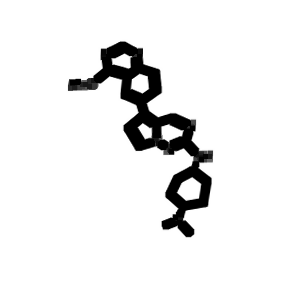 COc1ncnc2ccc(-c3ccn4nc(N[C@H]5CC[C@H](N(C)C)CC5)ncc34)cc12